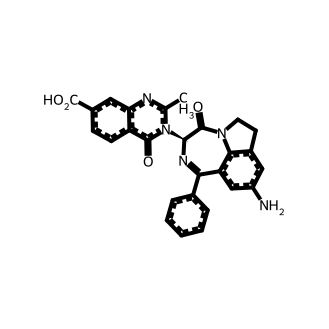 Cc1nc2cc(C(=O)O)ccc2c(=O)n1[C@@H]1N=C(c2ccccc2)c2cc(N)cc3c2N(CC3)C1=O